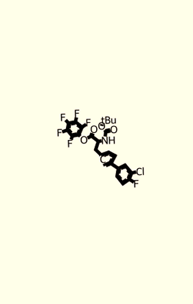 CC(C)(C)OC(=O)NC(Cc1ccc(-c2ccc(F)c(Cl)c2)cc1)C(=O)Oc1c(F)c(F)c(F)c(F)c1F